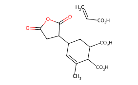 C=CC(=O)O.CC1=CC(C2CC(=O)OC2=O)CC(C(=O)O)C1C(=O)O